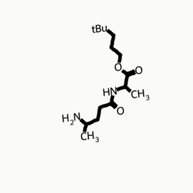 CC(N)CCC(=O)NC(C)C(=O)OCCCC(C)(C)C